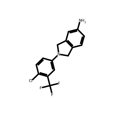 Nc1ccc2c(c1)CN(c1ccc(Cl)c(C(F)(F)F)c1)C2